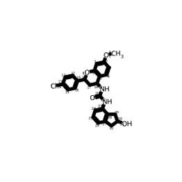 COc1ccc2c(c1)OC(c1ccc(Cl)cc1)CC2NC(=O)Nc1cccc2c1CC(O)C2